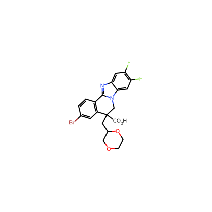 O=C(O)C1(CC2COCCO2)Cn2c(nc3cc(F)c(F)cc32)-c2ccc(Br)cc21